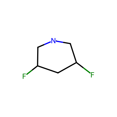 FC1C[N]CC(F)C1